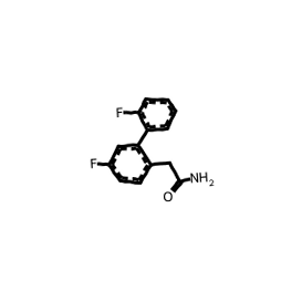 NC(=O)Cc1ccc(F)cc1-c1ccccc1F